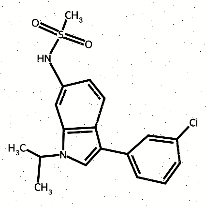 CC(C)n1cc(-c2cccc(Cl)c2)c2ccc(NS(C)(=O)=O)cc21